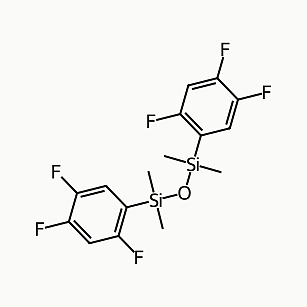 C[Si](C)(O[Si](C)(C)c1cc(F)c(F)cc1F)c1cc(F)c(F)cc1F